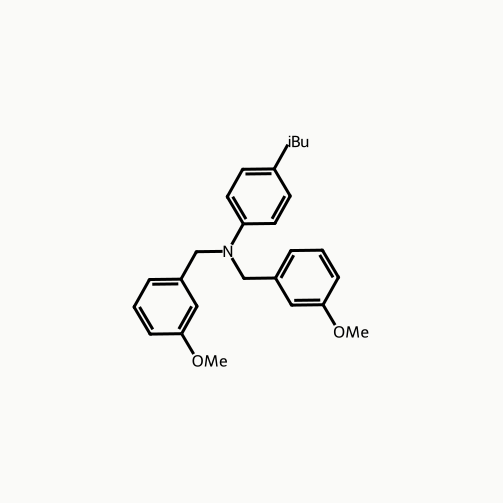 CCC(C)c1ccc(N(Cc2cccc(OC)c2)Cc2cccc(OC)c2)cc1